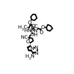 C[C@H](NP(=O)(N[C@@H](C)C(=O)OC1CCCCC1)OC[C@]1(C#N)CC[C@H](c2ccc3c(N)ncnn23)O1)C(=O)OC1CCCCC1